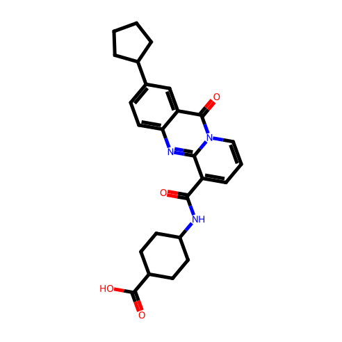 O=C(NC1CCC(C(=O)O)CC1)c1cccn2c(=O)c3cc(C4CCCC4)ccc3nc12